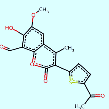 COc1cc2c(C)c(-c3ccc(C(C)=O)s3)c(=O)oc2c(C=O)c1O